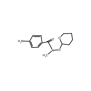 CN(OC1CCCCO1)C(=O)c1ccc(N)cc1